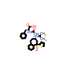 CC(=O)N[C@@H](Cc1ccccc1)C(=O)O.CC(C)N[C@@H]1CCc2ccccc2[C@@](O)(c2cccs2)C1